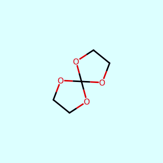 C1COC2(O1)OCCO2